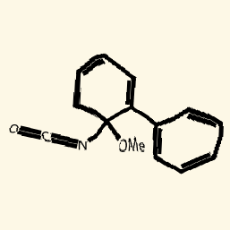 COC1(N=C=O)CC=CC=C1c1ccccc1